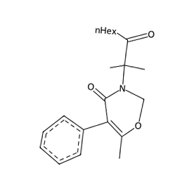 CCCCCCC(=O)C(C)(C)N1COC(C)=C(c2ccccc2)C1=O